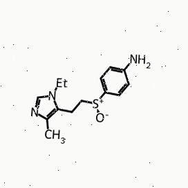 CCn1cnc(C)c1CC[S@+]([O-])c1ccc(N)cc1